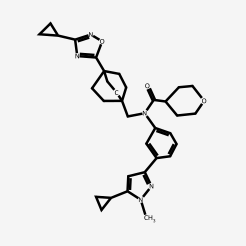 Cn1nc(-c2cccc(N(CC34CCC(c5nc(C6CC6)no5)(CC3)CC4)C(=O)C3CCOCC3)c2)cc1C1CC1